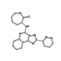 O=c1nccccc1Nc1nc2ccccc2c2nc(-c3cccnn3)nn12